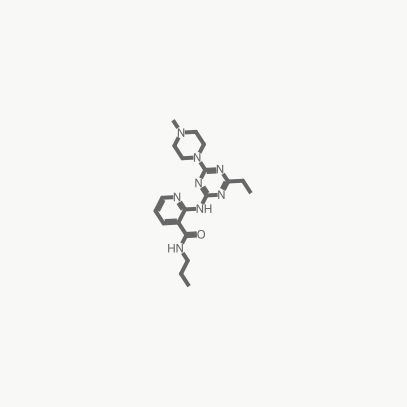 CCCNC(=O)c1cccnc1Nc1nc(CC)nc(N2CCN(C)CC2)n1